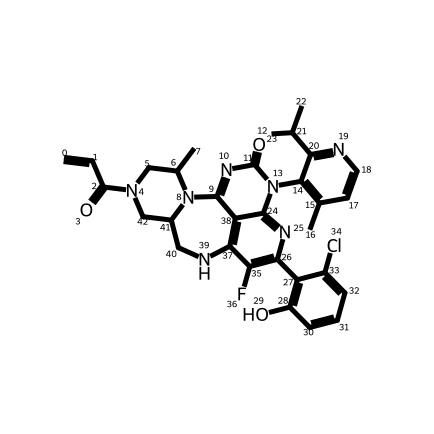 C=CC(=O)N1CC(C)N2c3nc(=O)n(-c4c(C)ccnc4C(C)C)c4nc(-c5c(O)cccc5Cl)c(F)c(c34)NCC2C1